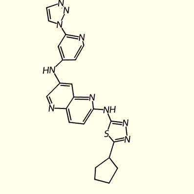 c1cn(-c2cc(Nc3cnc4ccc(Nc5nnc(C6CCCC6)s5)nc4c3)ccn2)nn1